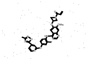 C=CC(=O)N1CC(Oc2cc3c(Nc4ccc(Oc5cc(-c6nc(C)no6)ccn5)cc4F)ncnc3cc2OC)C1